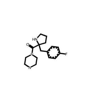 O=C(N1CC[N]CC1)C1(Cc2ccc(F)cc2)CCCN1